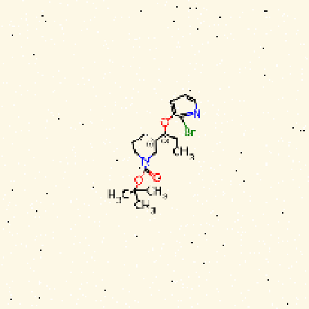 CC[C@H](Oc1cccnc1Br)[C@H]1CCCN(C(=O)OC(C)(C)C)C1